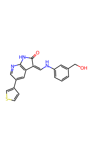 O=C1Nc2ncc(-c3ccsc3)cc2/C1=C/Nc1cccc(CO)c1